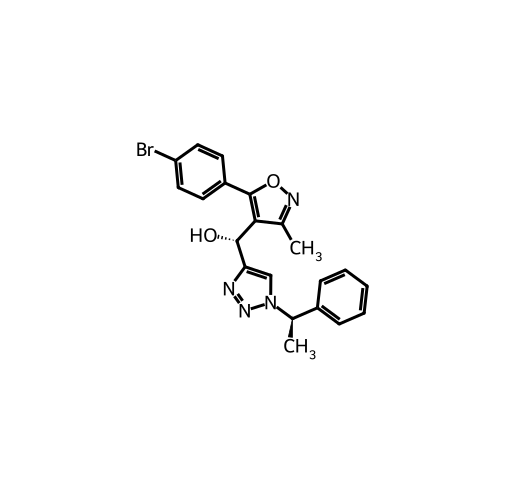 Cc1noc(-c2ccc(Br)cc2)c1[C@@H](O)c1cn([C@H](C)c2ccccc2)nn1